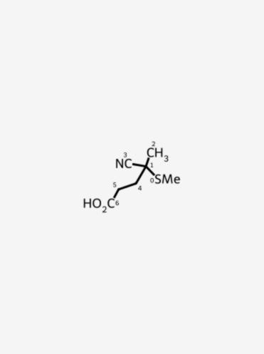 CSC(C)(C#N)CCC(=O)O